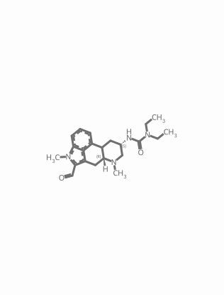 CCN(CC)C(=O)N[C@H]1CC2c3cccc4c3c(c(C=O)n4C)C[C@H]2N(C)C1